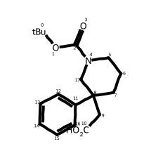 CC(C)(C)OC(=O)N1CCCC(CC(=O)O)(c2ccccc2)C1